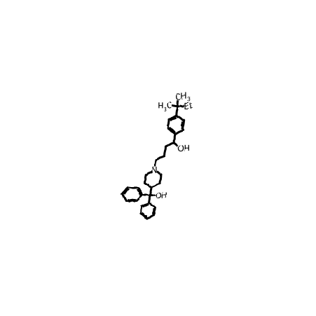 CCC(C)(C)c1ccc(C(O)CCCN2CCC(C(O)(c3ccccc3)c3ccccc3)CC2)cc1